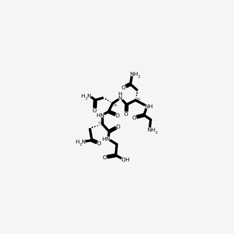 NCC(=O)N[C@@H](CC(N)=O)C(=O)N[C@@H](CC(N)=O)C(=O)N[C@@H](CC(N)=O)C(=O)NCC(=O)O